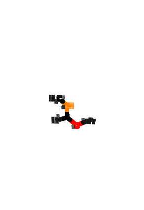 CCCOC(CC)PC